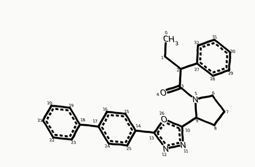 CCC(C(=O)N1CCCC1c1nnc(-c2ccc(-c3ccccc3)cc2)o1)c1ccccc1